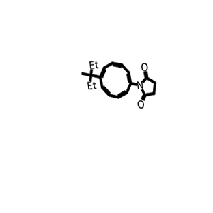 CCC(C)(CC)c1ccccc(N2C(=O)CCC2=O)cccc1